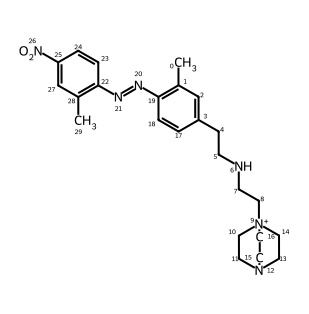 Cc1cc(CCNCC[N+]23CCN(CC2)CC3)ccc1N=Nc1ccc([N+](=O)[O-])cc1C